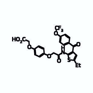 CCc1cc(C(=O)c2ccc(OC(F)(F)F)cc2)c(NC(=O)COc2ccc(OCC(=O)O)cc2)s1